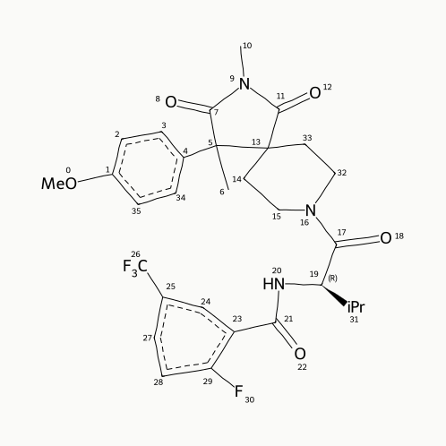 COc1ccc(C2(C)C(=O)N(C)C(=O)C23CCN(C(=O)[C@H](NC(=O)c2cc(C(F)(F)F)ccc2F)C(C)C)CC3)cc1